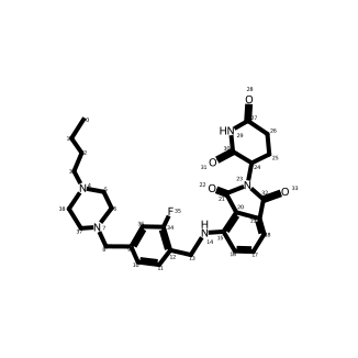 CCCCN1CCN(Cc2ccc(CNc3cccc4c3C(=O)N(C3CCC(=O)NC3=O)C4=O)c(F)c2)CC1